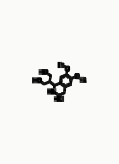 CCOc1cc2c(cc1OCC)C(C(CO)CO)NCC2.Cl